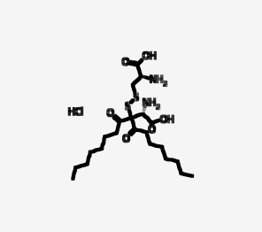 CCCCCCCC(=O)C(SSC[C@H](N)C(=O)O)(C(=O)CCCCCCC)[C@H](N)C(=O)O.Cl